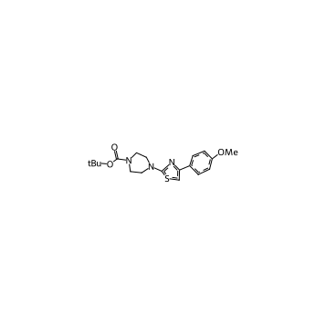 COc1ccc(-c2csc(N3CCN(C(=O)OC(C)(C)C)CC3)n2)cc1